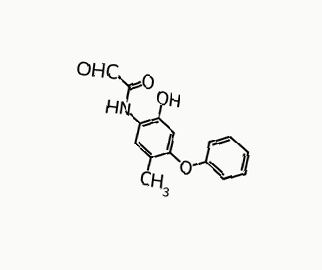 Cc1cc(NC(=O)C=O)c(O)cc1Oc1ccccc1